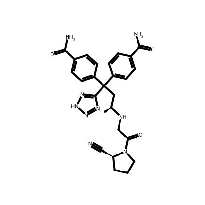 C[C@@H](CC(c1ccc(C(N)=O)cc1)(c1ccc(C(N)=O)cc1)c1nn[nH]n1)NCC(=O)N1CCC[C@H]1C#N